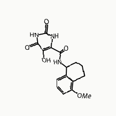 COc1cccc2c1CCCC2NC(=O)c1[nH]c(=O)[nH]c(=O)c1O